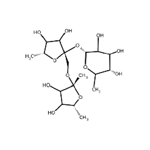 CC1O[C@H](O[C@]2(CO[C@]3(C)O[C@H](C)C(O)C3O)O[C@H](C)C(O)C2O)C(O)C(O)[C@@H]1O